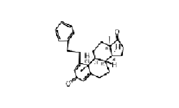 C[C@]12C(CCc3ccccc3)=CC(=O)C=C1CC[C@@H]1[C@@H]2CC[C@]2(C)C(=O)CC[C@@H]12